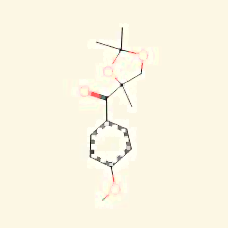 COc1ccc(C(=O)C2(C)COC(C)(C)O2)cc1